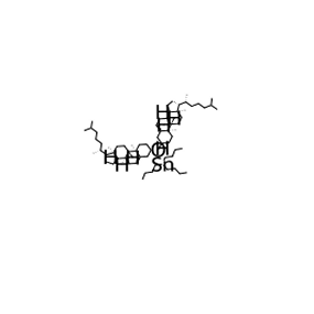 CC(C)CCC[C@@H](C)[C@H]1CC[C@H]2[C@@H]3CC=C4CC(OC5CC[C@@]6(C)C(=CC[C@H]7[C@@H]8CC[C@H]([C@H](C)CCCC(C)C)[C@@]8(C)CC[C@@H]76)C5)CC[C@]4(C)[C@H]3CC[C@]12C.CCC[CH2][SnH]([CH2]CCC)[CH2]CCC